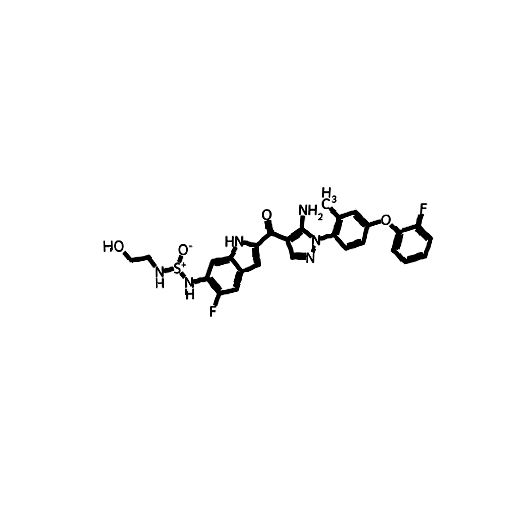 Cc1cc(Oc2ccccc2F)ccc1-n1ncc(C(=O)c2cc3cc(F)c(N[S+]([O-])NCCO)cc3[nH]2)c1N